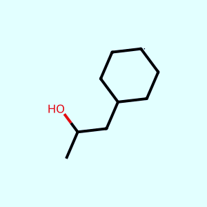 CC(O)CC1CC[CH]CC1